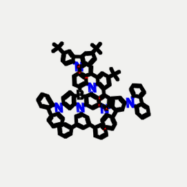 CC(C)(C)c1cc(-c2ccccc2)c(N2c3cc(-n4c5ccc(C(C)(C)C)cc5c5cc(C(C)(C)C)ccc54)ccc3B3c4ccc(-n5c6ccccc6c6ccccc65)cc4N(c4cc(-c5ccccc5)cc(-c5ccccc5)c4)c4cc(-n5c6ccccc6c6cc(-n7c8ccccc8c8ccccc87)ccc65)cc2c43)c(-c2ccccc2)c1